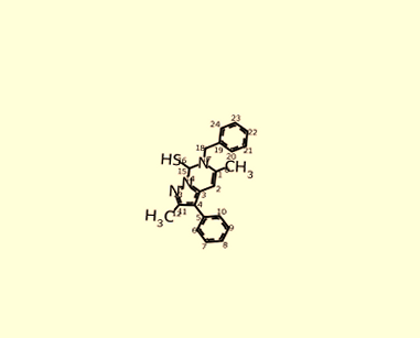 CC1=Cc2c(-c3ccccc3)c(C)nn2C(S)N1Cc1ccccc1